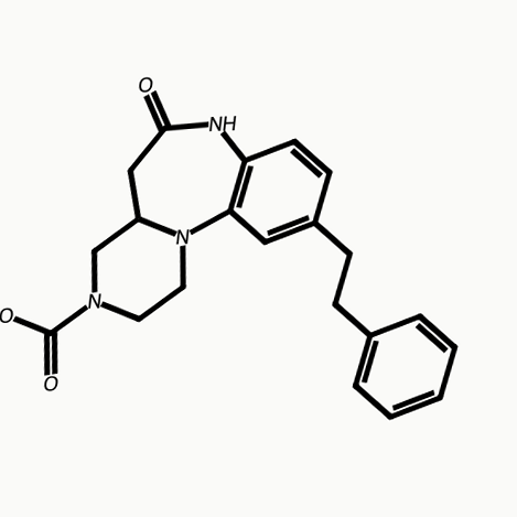 O=C1CC2CN(C(=O)O)CCN2c2cc(CCc3ccccc3)ccc2N1